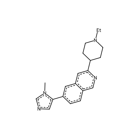 CCN1CCC(c2cc3cc(-c4cncn4C)ccc3cn2)CC1